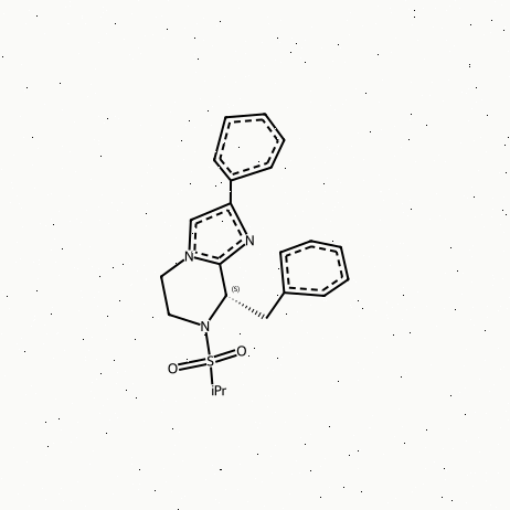 CC(C)S(=O)(=O)N1CCn2cc(-c3ccccc3)nc2[C@@H]1Cc1ccccc1